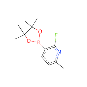 Cc1ccc(B2OC(C)(C)C(C)(C)O2)c(F)n1